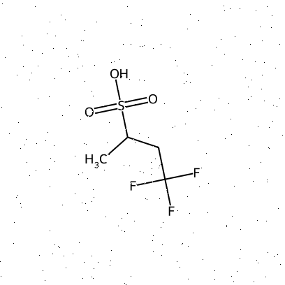 CC(CC(F)(F)F)S(=O)(=O)O